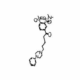 CN(C)S(=O)(=O)c1cc(C(=O)CCCCN2CCN(c3ccccc3)CC2)ccc1S(C)(=O)=O